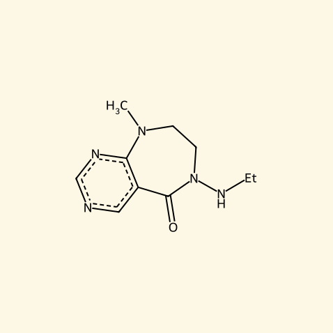 CCNN1CCN(C)c2ncncc2C1=O